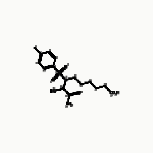 Cc1ccc(S(=O)(=O)N(CCCCCC(=O)O)C(O)C(N)=O)cc1